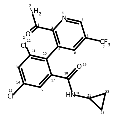 NC(=O)c1ncc(C(F)(F)F)cc1-c1c(Cl)cc(Cl)cc1C(=O)NC1CC1